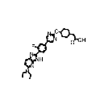 CCN(CC)c1ccc2nc(-c3ccc(-c4cnc(OC5CCC(CC(=O)O)CC5)nc4)cc3F)[nH]c2n1